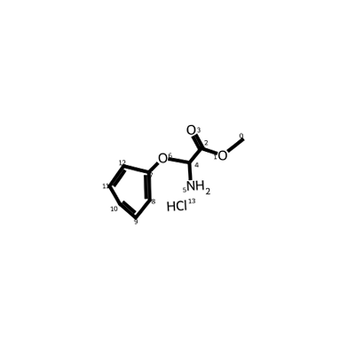 COC(=O)C(N)Oc1ccccc1.Cl